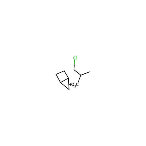 C1CC2CC12.CC(CCl)C(=O)O